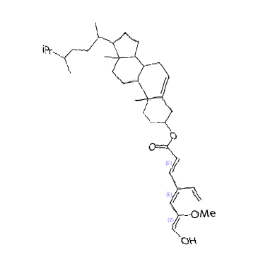 C=CC(/C=C/C(=O)OC1CCC2(C)C(=CCC3C2CCC2(C)C(C(C)CCC(C)C(C)C)CCC32)C1)=C\C(=C\O)OC